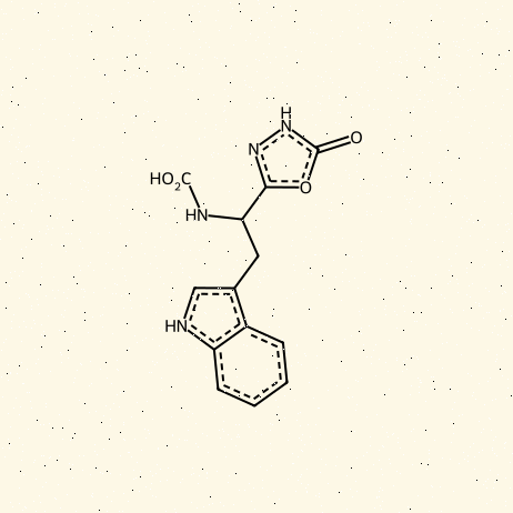 O=C(O)NC(Cc1c[nH]c2ccccc12)c1n[nH]c(=O)o1